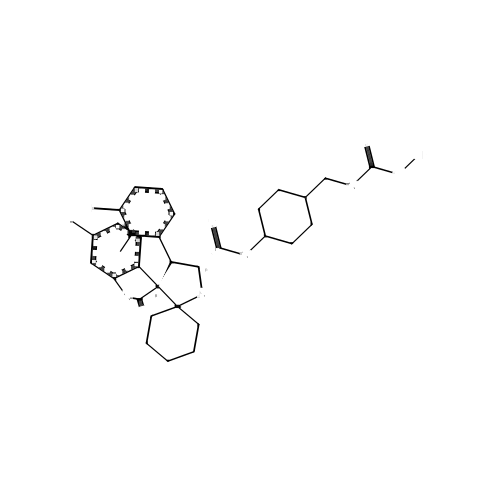 CC(C)(C)OC(=O)NCC1CCC(NC(=O)[C@@H]2NC3(CCCCC3)[C@@]3(C(=O)Nc4cc(Cl)ccc43)C2c2cccc(Cl)c2F)CC1